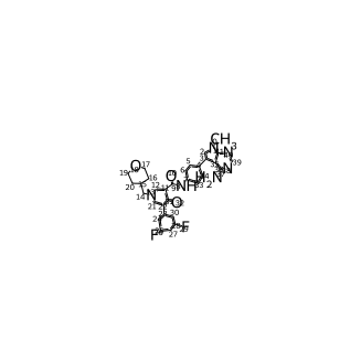 Cn1cc(-c2ccc(NC(=O)c3cn(CC4CCOCC4)cc(-c4cc(F)cc(F)c4)c3=O)cc2)c2c(N)ncnc21